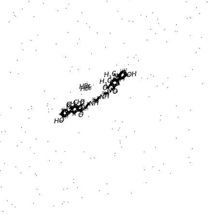 Br.Br.Cc1c2c(cc3c4cc(O)ccc4n(C)c13)C(=O)N(CCNCCCNCCN1C(=O)c3cc4c5cc(O)ccc5n(C)c4c(C)c3C1=O)C2=O